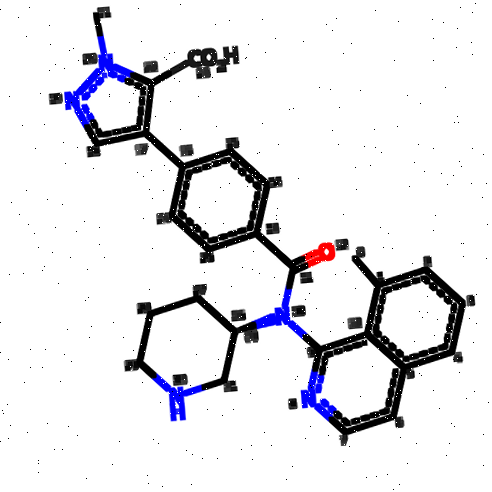 Cc1cccc2ccnc(N(C(=O)c3ccc(-c4cnn(C)c4C(=O)O)cc3)[C@@H]3CCCNC3)c12